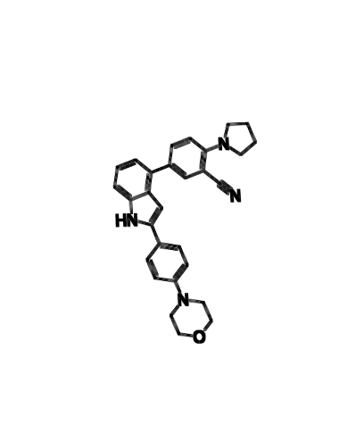 N#Cc1cc(-c2cccc3[nH]c(-c4ccc(N5CCOCC5)cc4)cc23)ccc1N1CCCC1